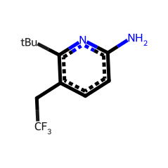 CC(C)(C)c1nc(N)ccc1CC(F)(F)F